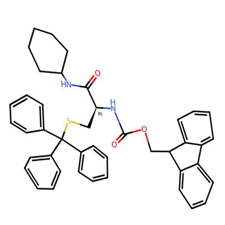 O=C(N[C@@H](CSC(c1ccccc1)(c1ccccc1)c1ccccc1)C(=O)NC1CCCCC1)OCC1c2ccccc2-c2ccccc21